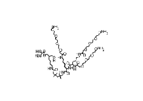 CCCCP(=O)(O)OCC(CO)CCCCNC(=O)CC(C)(C)CC(C)(C)CNC(=O)C(CCCCNC(=O)COCCOCCOCCON)NC(=O)C(CCCCNC(=O)COCCOCCOCCON)NC(=O)COCCOCCOCCON